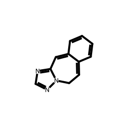 C1=c2ccccc2=Cc2ncnn2C1